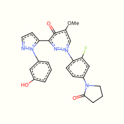 COc1cn(-c2ccc(N3CCCC3=O)cc2F)nc(-c2ccnn2-c2cccc(O)c2)c1=O